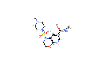 CN1CCN(S(=O)(=O)N2CCOc3ncc(C(=O)NC(C)(C)C)cc32)CC1